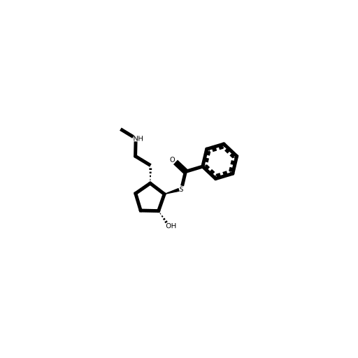 CNCC[C@H]1CC[C@@H](O)[C@@H]1SC(=O)c1ccccc1